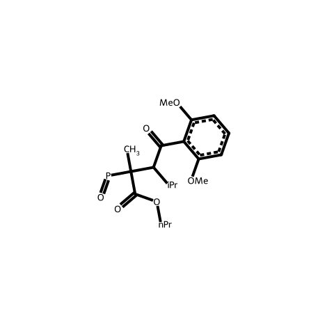 CCCOC(=O)C(C)(P=O)C(C(=O)c1c(OC)cccc1OC)C(C)C